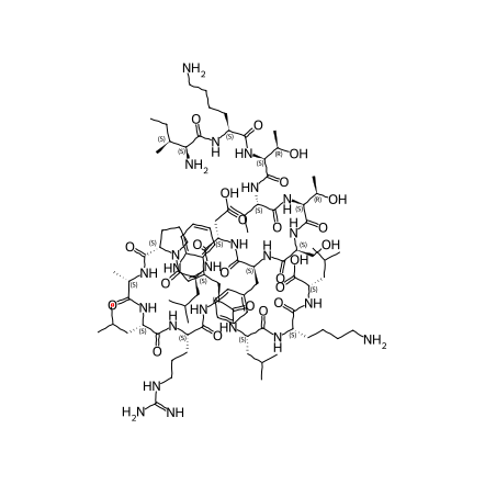 CC[C@H](C)[C@H](N)C(=O)N[C@@H](CCCCN)C(=O)N[C@H](C(=O)N[C@H](C(=O)N[C@H](C(=O)N[C@@H](CO)C(=O)N[C@@H](Cc1ccccc1)C(=O)N[C@@H](CC(=O)O)C(=O)N[C@@H](CC(C)C)C(=O)N1CCC[C@H]1C(=O)N[C@@H](C)C(=O)N[C@@H](CC(C)C)C(=O)N[C@@H](CCCNC(=N)N)C(=O)N[C@@H](Cc1c[nH]c2ccccc12)C(=O)N[C@@H](CC(C)C)C(=O)N[C@@H](CCCCN)C(=O)N[C@@H](CC(C)C)C(=O)O)[C@@H](C)O)C(C)C)[C@@H](C)O